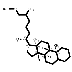 CC(CCC[C@@H](C)[C@H]1CC[C@H]2[C@@H]3CCC4CCCC[C@]4(C)[C@H]3CC[C@]12C)COS(=O)(=O)O